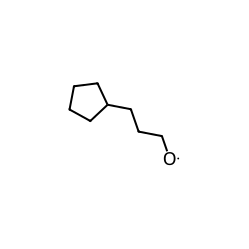 [O]CCCC1CCCC1